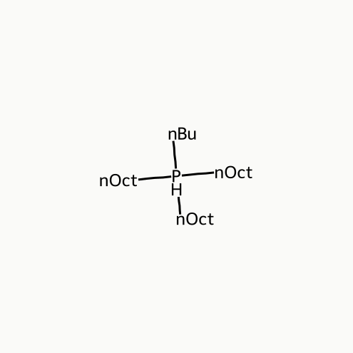 CCCCCCCC[PH](CCCC)(CCCCCCCC)CCCCCCCC